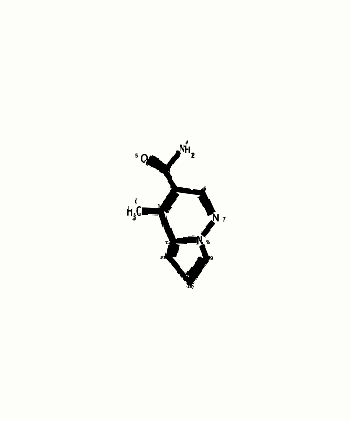 Cc1c(C(N)=O)cnn2cccc12